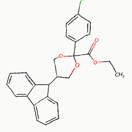 CCOC(=O)C1(c2ccc(Cl)cc2)OCC(C2c3ccccc3-c3ccccc32)CO1